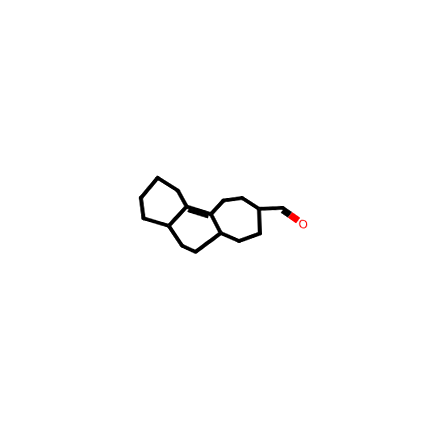 O=CC1CCC2=C3CCCCC3CCC2CC1